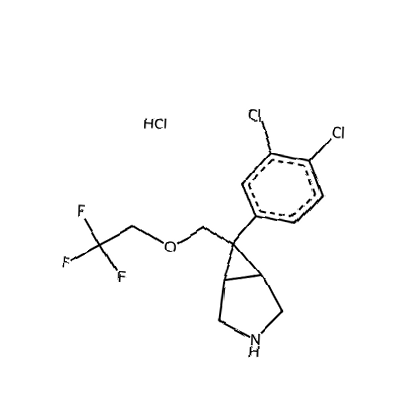 Cl.FC(F)(F)COCC1(c2ccc(Cl)c(Cl)c2)C2CNCC21